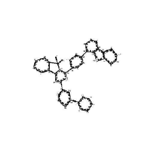 CC1(C)c2ccccc2-c2nc(-c3cccc(-c4ccccc4)c3)nc(-c3ccc(-c4cccc5c4sc4ccccc45)cc3)c21